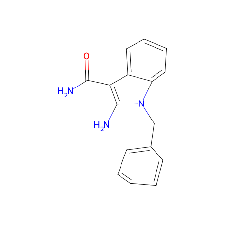 NC(=O)c1c(N)n(Cc2ccccc2)c2ccccc12